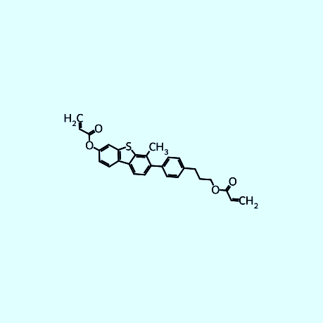 C=CC(=O)OCCCc1ccc(-c2ccc3c(sc4cc(OC(=O)C=C)ccc43)c2C)cc1